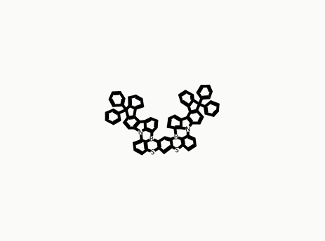 c1ccc(C2(c3ccccc3)c3ccccc3-c3c2ccc2c3c3cccc4c3n2-c2cccc3c2B4c2cc4c(cc2S3)Sc2cccc3c2B4c2cccc4c5c6c(ccc5n-3c24)C(c2ccccc2)(c2ccccc2)c2ccccc2-6)cc1